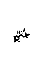 CCNC(CC(C)(C)C)c1ccc(C)s1